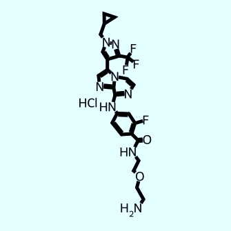 Cl.NCCOCCNC(=O)c1ccc(Nc2nccn3c(-c4cn(CC5CC5)nc4C(F)(F)F)cnc23)cc1F